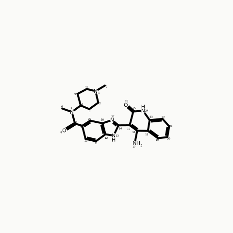 CN1CCC(N(C)C(=O)c2ccc3[nH]c(-c4c(N)c5ccccc5[nH]c4=O)nc3c2)CC1